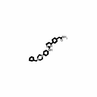 NC(=O)Cc1ccc(-c2ccnc(Nc3ccc(N4CCN(Cc5ccccc5)CC4)cc3)n2)cc1